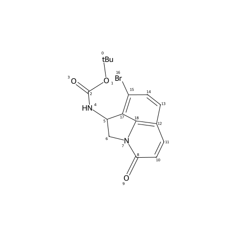 CC(C)(C)OC(=O)NC1Cn2c(=O)ccc3ccc(Br)c1c32